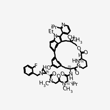 CCn1c(-c2cccnc2C(C)C)c2c3cc(ccc31)-c1cc(O)cc(c1)C[C@H](NC(=O)[C@H](C(C)C)N(C)C(=O)CN(C)C(=O)[C@H]1CN1Cc1ccccc1F)C(=O)N1CCC[C@H](N1)C(=O)OCC(C)(C)C2